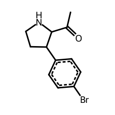 CC(=O)C1NCCC1c1ccc(Br)cc1